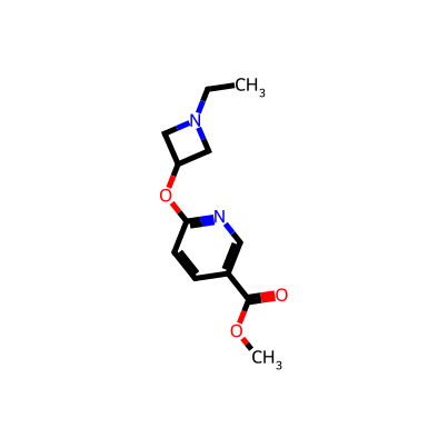 CCN1CC(Oc2ccc(C(=O)OC)cn2)C1